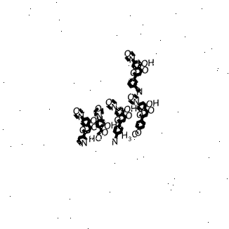 COc1ccc(-c2cc(=O)c3c(O)cc(N4CCOCC4)cc3o2)cc1.N#Cc1ccc(-c2cc(=O)c3c(O)cc(N4CCOCC4)cc3o2)cc1.N#Cc1cccc(-c2cc(=O)c3c(O)cc(N4CCOCC4)cc3o2)c1.O=C(CO)c1ccc(N2CCOCC2)cc1O.O=c1cc(-c2cccnc2)oc2cc(N3CCOCC3)cc(O)c12